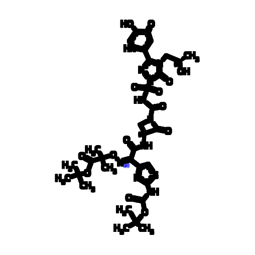 C[C@H](O)Cn1c(-c2cc(=O)c(O)c[nH]2)nn(S(=O)(=O)NC(=O)N2C[C@H](NC(=O)/C(=N\OC(C)(C)C(=O)OC(C)(C)C)c3csc(NC(=O)OC(C)(C)C)n3)C2=O)c1=O